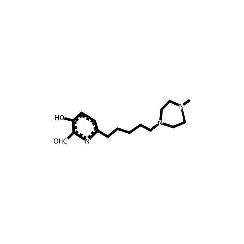 CN1CCN(CCCCCc2ccc(O)c(C=O)n2)CC1